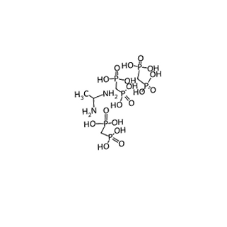 CC(N)N.O=P(O)(O)CP(=O)(O)O.O=P(O)(O)CP(=O)(O)O.O=P(O)(O)CP(=O)(O)O